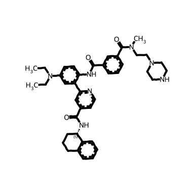 CCN(CC)c1ccc(NC(=O)c2cccc(C(=O)N(C)CCN3CCNCC3)c2)c(-c2cc(C(=O)N[C@H]3CCCc4ccccc43)ccn2)c1